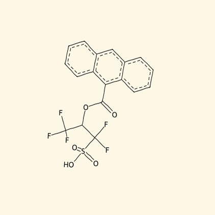 O=C(OC(C(F)(F)F)C(F)(F)S(=O)(=O)O)c1c2ccccc2cc2ccccc12